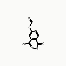 O=COc1ccc2c(=O)[nH]nc(Cl)c2c1